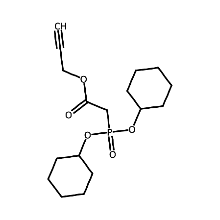 C#CCOC(=O)CP(=O)(OC1CCCCC1)OC1CCCCC1